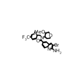 CO[C@@H]1COCC[C@H]1N(Cc1ccc(C(F)(F)F)cn1)C(=O)c1ccc2nc(N)c(Br)cc2c1